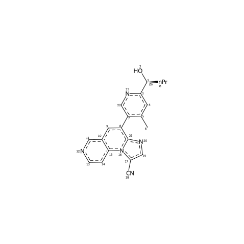 CCC[C@H](O)c1cc(C)c(-c2cc3cnccc3n3c(C#N)cnc23)cn1